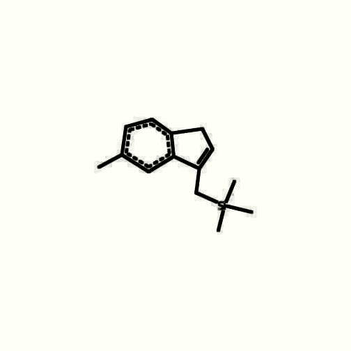 Cc1ccc2c(c1)C(C[Si](C)(C)C)=CC2